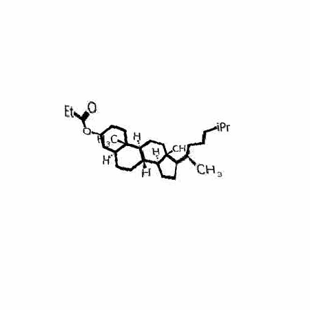 CCC(=O)O[C@H]1CC[C@@]2(C)[C@@H](CC[C@@H]3[C@@H]2CC[C@]2(C)[C@@H]([C@H](C)CCCC(C)C)CC[C@@H]32)C1